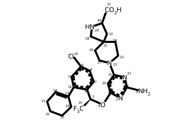 Nc1nc(O[C@H](c2ccc(Cl)cc2C2=CCCCC2)C(F)(F)F)cc(N2CCC3(CC2)CNC(C(=O)O)C3)n1